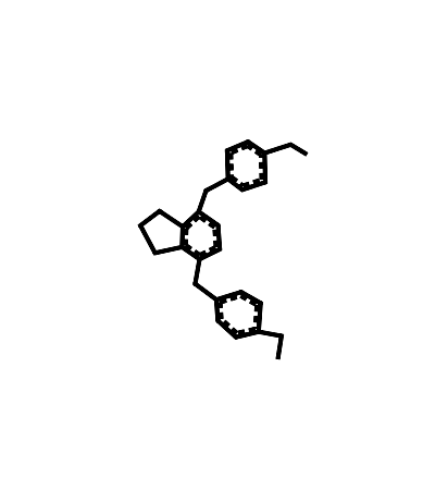 CCc1ccc(Cc2ccc(Cc3ccc(CC)cc3)c3c2CCC3)cc1